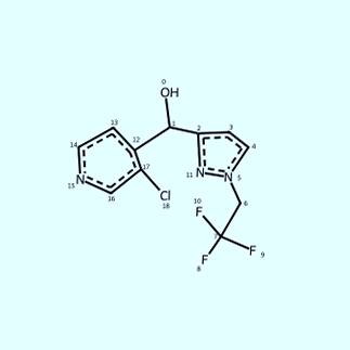 OC(c1ccn(CC(F)(F)F)n1)c1ccncc1Cl